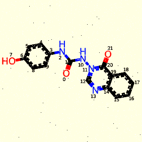 O=C(Nc1ccc(O)cc1)Nn1cnc2ccccc2c1=O